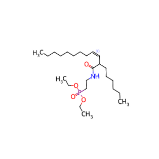 CCCCCCCC/C=C\C(CCCCCC)C(=O)NCCP(=O)(OCC)OCC